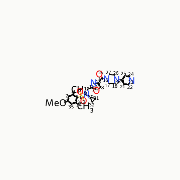 COc1cc(C)c(S(=O)(=O)N(Cc2nc(C(=O)N3CCN(c4ccncc4)CC3)co2)C2CC2)c(C)c1